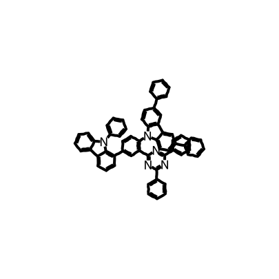 c1ccc(-c2ccc3c(c2)c2cc(-c4ccccc4)ccc2n3-c2ccc(-c3cccc4c5ccccc5n(-c5ccccc5)c34)cc2-c2nc(-c3ccccc3)nc(-c3ccccc3)n2)cc1